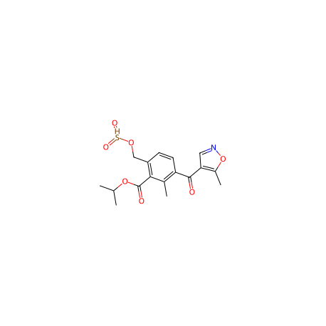 Cc1oncc1C(=O)c1ccc(CO[SH](=O)=O)c(C(=O)OC(C)C)c1C